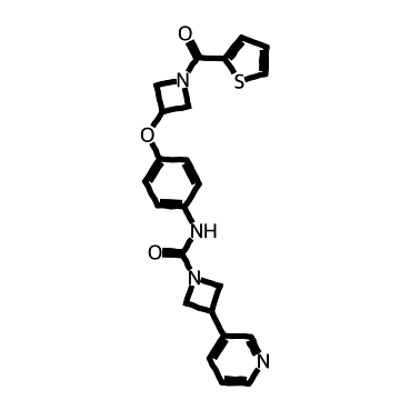 O=C(Nc1ccc(OC2CN(C(=O)c3cccs3)C2)cc1)N1CC(c2cccnc2)C1